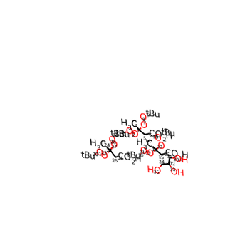 CC(C)(C)OOC(C)(CC(=O)O)OOC(C)(C)C.CC(C)(C)OOC(C)(CC(=O)O)OOC(C)(C)C.CC(C)(C)OOC(C)(CC(=O)O)OOC(C)(C)C.OCC(O)CO